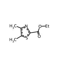 CCOC(=O)c1nc(C)c(C)s1